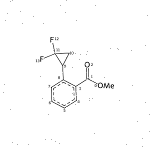 COC(=O)c1ccccc1C1CC1(F)F